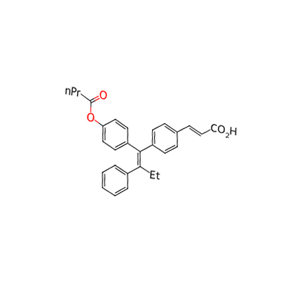 CCCC(=O)Oc1ccc(/C(=C(/CC)c2ccccc2)c2ccc(/C=C/C(=O)O)cc2)cc1